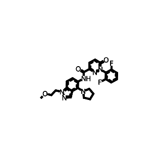 COCCn1ncc2c(N3CCCC3)c(NC(=O)c3ccc(=O)n(-c4c(F)cccc4F)n3)ccc21